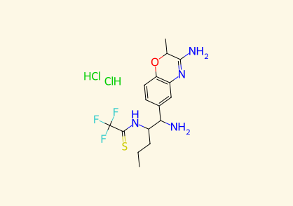 CCCC(NC(=S)C(F)(F)F)C(N)c1ccc2c(c1)N=C(N)C(C)O2.Cl.Cl